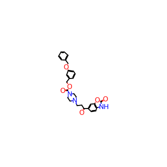 O=C(CCN1CCN(C(=O)OCc2cccc(OCc3ccccc3)c2)CC1)c1ccc2[nH]c(=O)oc2c1